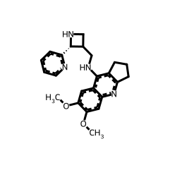 COc1cc2nc3c(c(NCC4CN[C@H]4c4ccccn4)c2cc1OC)CCC3